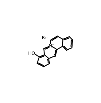 Oc1cccc2cc3c4ccccc4cc[n+]3cc12.[Br-]